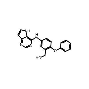 OCc1cc([AsH]c2ncnc3cc[nH]c23)ccc1Oc1ccccc1